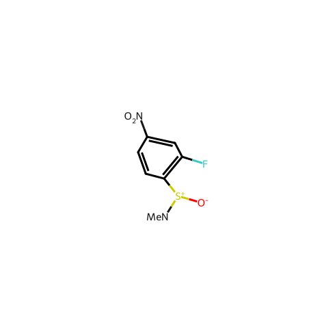 CN[S+]([O-])c1ccc([N+](=O)[O-])cc1F